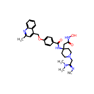 Cc1cc(COc2ccc(C(=O)NC3(CC(=O)NO)CCN(CC(=NC#N)N(C)C)CC3)cc2)c2ccccc2n1